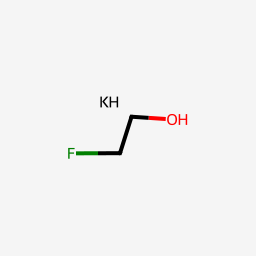 OCCF.[KH]